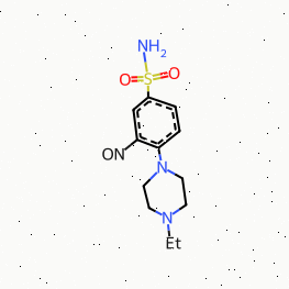 CCN1CCN(c2ccc(S(N)(=O)=O)cc2N=O)CC1